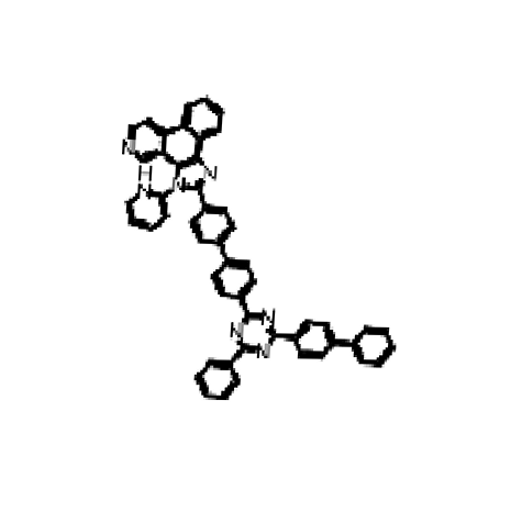 C1=CCNC(n2c(-c3ccc(-c4ccc(-c5nc(-c6ccccc6)nc(-c6ccc(-c7ccccc7)cc6)n5)cc4)cc3)nc3c4ccccc4c4ccncc4c32)=C1